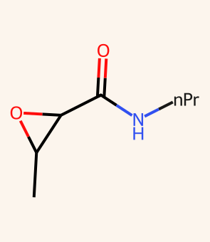 CCCNC(=O)C1OC1C